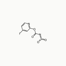 O=C(N=S(=O)=O)Oc1cc(I)ccn1